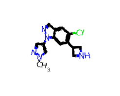 Cn1cc(-n2ncc3cc(Cl)c(C4CNC4)cc32)cn1